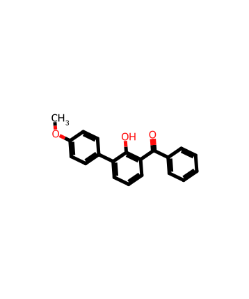 COc1ccc(-c2cccc(C(=O)c3ccccc3)c2O)cc1